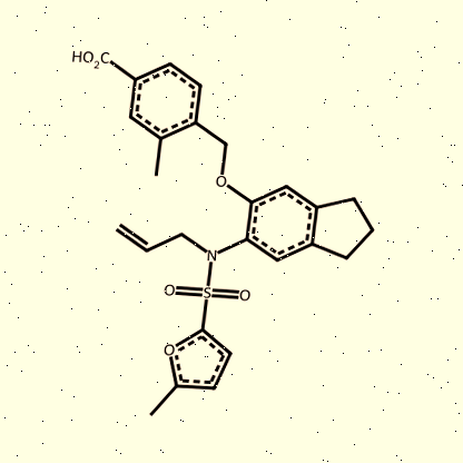 C=CCN(c1cc2c(cc1OCc1ccc(C(=O)O)cc1C)CCC2)S(=O)(=O)c1ccc(C)o1